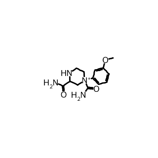 COc1cccc([N+]2(C(N)=O)CCNC(C(N)=O)C2)c1